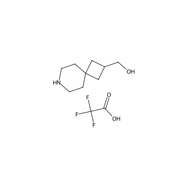 O=C(O)C(F)(F)F.OCC1CC2(CCNCC2)C1